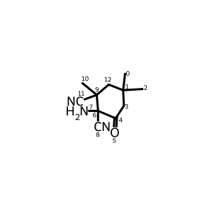 CC1(C)CC(=O)C(N)(C#N)C(C)(C#N)C1